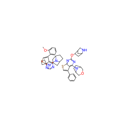 COc1ccccc1-c1csc2ncnc(N3C4CCC3CC(N(C)C3CCC3)C4)c12.c1ccc(-c2csc3nc(OC4CC5CC4CN5)nc(N4C5CCC4COC5)c23)cc1